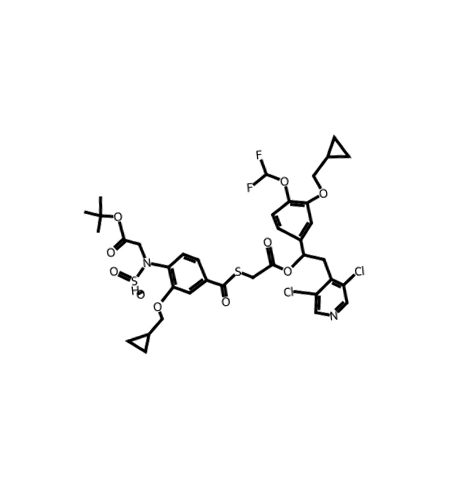 CC(C)(C)OC(=O)CN(c1ccc(C(=O)SCC(=O)OC(Cc2c(Cl)cncc2Cl)c2ccc(OC(F)F)c(OCC3CC3)c2)cc1OCC1CC1)[SH](=O)=O